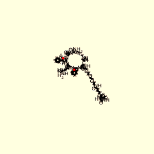 Cn1cc(C[C@@H]2NC(=O)[C@@H](CCCNC(=N)N)NC(=O)[C@@H](Cc3ccccc3)NC(=O)[C@@H](NC(=O)COCCOCCOCCNC(=O)CCCC[C@@H]3SC[C@@H]4NC(=O)N[C@@H]43)Cc3cn(nn3)CCCC[C@@H](C(N)=O)NC(=O)[C@@H](CO)NC2=O)c2ccccc21